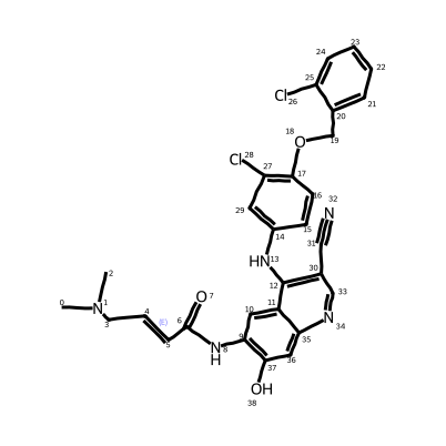 CN(C)C/C=C/C(=O)Nc1cc2c(Nc3ccc(OCc4ccccc4Cl)c(Cl)c3)c(C#N)cnc2cc1O